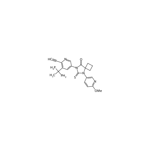 C#Cc1ncc(N2C(=O)C3(CCC3)N(c3ccc(OC)nc3)C2=S)cc1C(C)(P)P